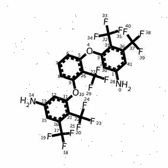 Nc1cc(Oc2cccc(Oc3cc(N)cc(C(F)(F)F)c3C(F)(F)F)c2C(F)(F)F)c(C(F)(F)F)c(C(F)(F)F)c1